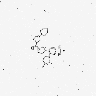 CC1CCN(c2cc(C(F)(F)F)ccc2C2CCN(C(=O)C3CCN(C4CCCCC4)C3)C2)CC1